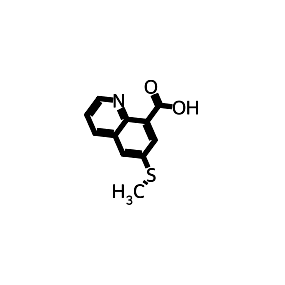 CSc1cc(C(=O)O)c2ncccc2c1